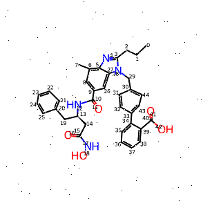 CCCc1nc2c(C)cc(C(=O)N[C@@H](CC(=O)NO)Cc3ccccc3)cc2n1Cc1ccc(-c2ccccc2C(=O)O)cc1